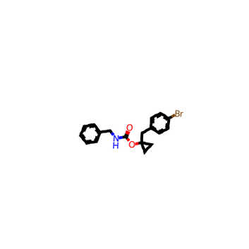 O=C(NCc1ccccc1)OC1(Cc2ccc(Br)cc2)CC1